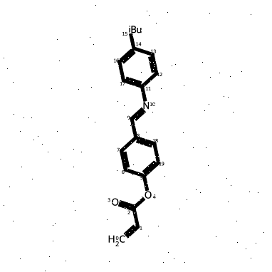 C=CC(=O)Oc1ccc(C=Nc2ccc(C(C)CC)cc2)cc1